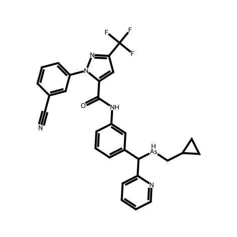 N#Cc1cccc(-n2nc(C(F)(F)F)cc2C(=O)Nc2cccc(C([AsH]CC3CC3)c3ccccn3)c2)c1